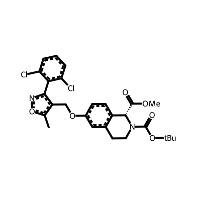 COC(=O)[C@H]1c2ccc(OCc3c(-c4c(Cl)cccc4Cl)noc3C)cc2CCN1C(=O)OC(C)(C)C